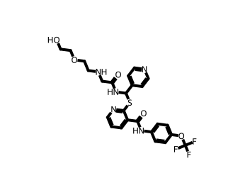 O=C(CNCCOCCO)NC(Sc1ncccc1C(=O)Nc1ccc(OC(F)(F)F)cc1)c1ccncc1